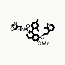 COc1cc2c(cc1OCCc1cccnc1C)C(c1ccc(C)cc1C)N(C(=O)NCc1cocn1)CC2